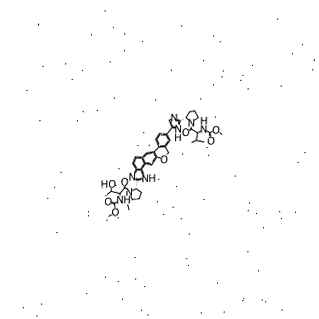 CC[C@H]1CC[C@@H](c2nc3ccc4cc5c(cc4c3[nH]2)OCc2cc(-c3cnc([C@@H]4CC[C@H](C)N4C(=O)[C@@H](NC(=O)OC)C(C)C)[nH]3)ccc2-5)N1C(=O)[C@@H](NC(=O)OC)C(C)O